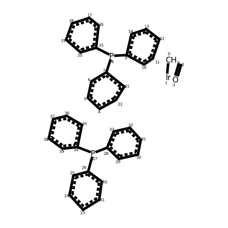 [CH3][Ir].[C]=O.c1ccc(P(c2ccccc2)c2ccccc2)cc1.c1ccc(P(c2ccccc2)c2ccccc2)cc1